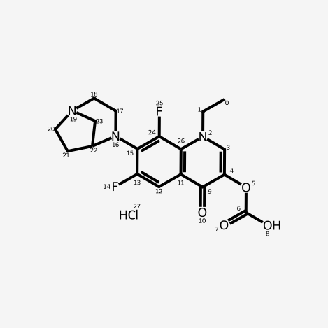 CCn1cc(OC(=O)O)c(=O)c2cc(F)c(N3CCN4CCC3C4)c(F)c21.Cl